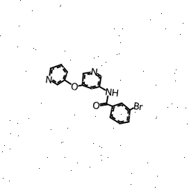 O=C(Nc1cncc(Oc2cccnc2)c1)c1cccc(Br)c1